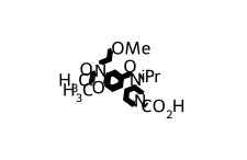 COCCCN1C(=O)C(C)(C)Oc2ccc(C(=O)N(C(C)C)[C@@H]3CCCN(C(=O)O)C3)cc21